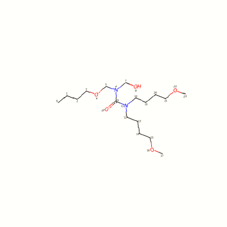 CCCCOCN(CO)C(=O)N(CCCCOC)CCCCOC